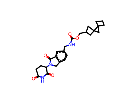 O=C1CCC(N2Cc3ccc(CNC(=O)OCC4CC5(C4)CC54CCC4)cc3C2=O)C(=O)N1